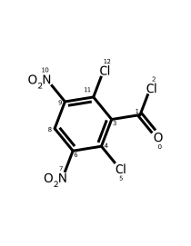 O=C(Cl)c1c(Cl)c([N+](=O)[O-])cc([N+](=O)[O-])c1Cl